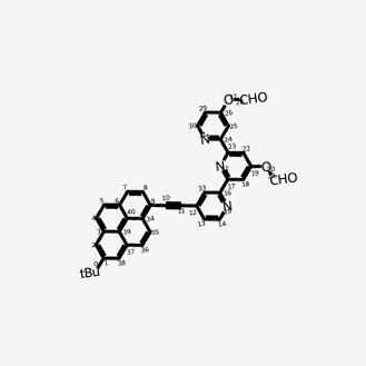 CC(C)(C)c1cc2ccc3ccc(C#Cc4ccnc(-c5cc(OC=O)cc(-c6cc(OC=O)ccn6)n5)c4)c4ccc(c1)c2c34